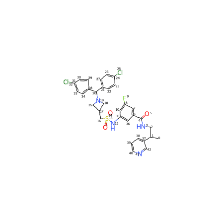 CC(CNC(=O)c1cc(F)cc(NS(=O)(=O)CC2CN(C(c3ccc(Cl)cc3)c3ccc(Cl)cc3)C2)c1)c1cccnc1